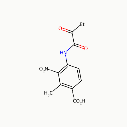 CCC(=O)C(=O)Nc1ccc(C(=O)O)c(C)c1[N+](=O)[O-]